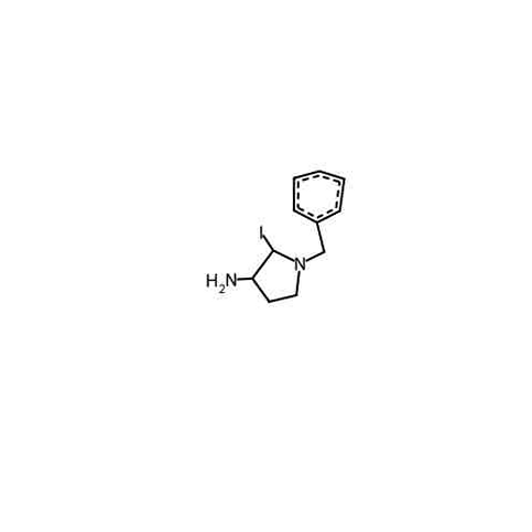 NC1CCN(Cc2ccccc2)C1I